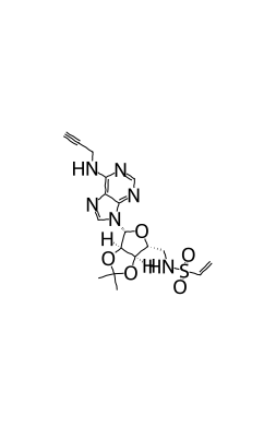 C#CCNc1ncnc2c1ncn2[C@@H]1O[C@H](CNS(=O)(=O)C=C)[C@H]2OC(C)(C)O[C@H]21